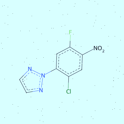 O=[N+]([O-])c1cc(Cl)c(-n2nccn2)cc1F